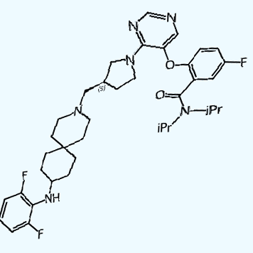 CC(C)N(C(=O)c1cc(F)ccc1Oc1cncnc1N1CC[C@@H](CN2CCC3(CCC(Nc4c(F)cccc4F)CC3)CC2)C1)C(C)C